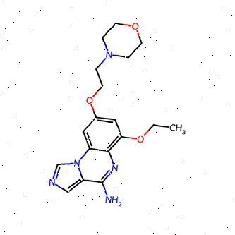 CCOc1cc(OCCN2CCOCC2)cc2c1nc(N)c1cncn12